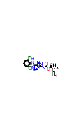 CC(C)OC(=O)Nc1nnc2c(Nc3c(F)cccc3Cl)nccn12